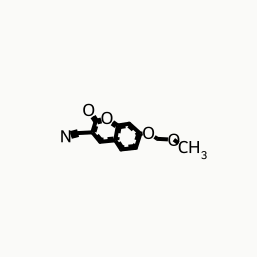 COCOc1ccc2cc(C#N)c(=O)oc2c1